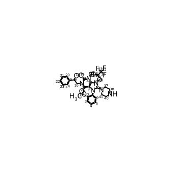 COc1ccccc1N1c2c(n(C)c(=O)n(CC(=O)c3ccccc3)c2=O)N(OC(=O)C(F)(F)F)C1N1CCNCC1